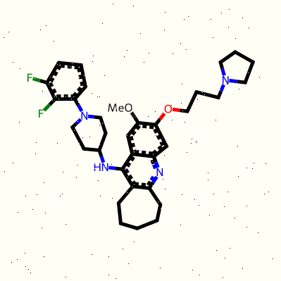 COc1cc2c(NC3CCN(c4cccc(F)c4F)CC3)c3c(nc2cc1OCCCN1CCCC1)CCCCC3